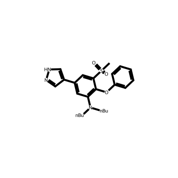 CCCCN(CCCC)c1cc(-c2cn[nH]c2)cc(S(C)(=O)=O)c1Oc1ccccc1